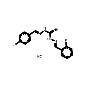 Cl.N=C(NN=Cc1ccc(Cl)cc1)NN=Cc1ccccc1F